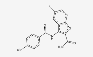 CCCc1ccc(C(=O)Nc2c(C(N)=O)oc3ccc(F)cc23)cc1